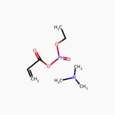 C=CC(=O)O[PH](=O)OCC.CN(C)C